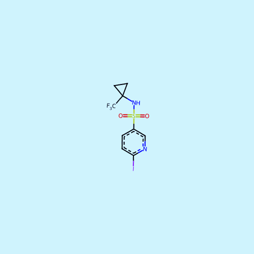 O=S(=O)(NC1(C(F)(F)F)CC1)c1ccc(I)nc1